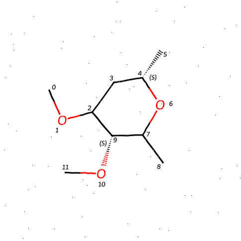 COC1C[C@H](C)OC(C)[C@@H]1OC